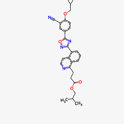 CC(C)COC(=O)CCc1nccc2c(-c3noc(-c4ccc(OCC5CC5)c(C#N)c4)n3)cccc12